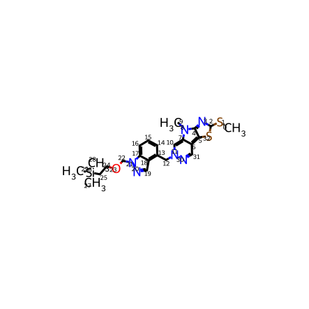 CSC1N=c2c(c3c(n2C)=CN(Cc2cccc4c2cnn4COCC[Si](C)(C)C)N=C3)S1